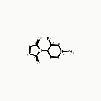 O=C1CSC(=O)N1C1CCN(P)CC1F